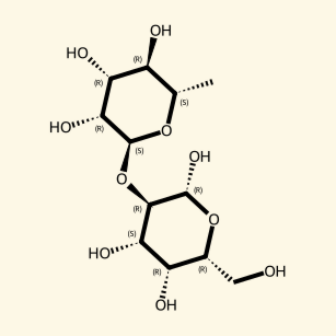 C[C@@H]1O[C@@H](O[C@@H]2[C@@H](O)[C@@H](O)[C@@H](CO)O[C@H]2O)[C@H](O)[C@H](O)[C@H]1O